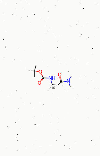 C[C@@H](CC(=O)N(C)C)NC(=O)OC(C)(C)C